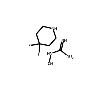 FC1(F)CCNCC1.N#CNC(=N)N